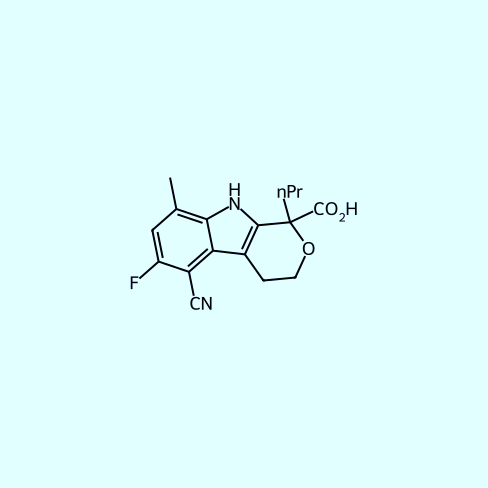 CCCC1(C(=O)O)OCCc2c1[nH]c1c(C)cc(F)c(C#N)c21